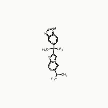 CC(C)c1ccc2nc(C(C)(C)c3ccc4[nH]cnc4c3)cn2c1